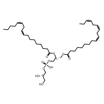 CC/C=C\C/C=C\C/C=C\CCCCCCCC(=O)OC[C@H](COP(=O)(O)OC[C@@H](O)CO)OC(=O)CCCCCCC/C=C\C/C=C\CCCC